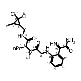 CCC[C@@H](C(=O)NCC1C(C)C1(Cl)Cl)N(I)C(=O)CNc1ccccc1C(=N)C(N)=O